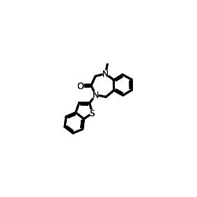 CN1CC(=O)N(c2cc3ccccc3s2)Cc2ccccc21